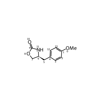 COc1ccc(C[C@H]2COC(=O)N2)cc1